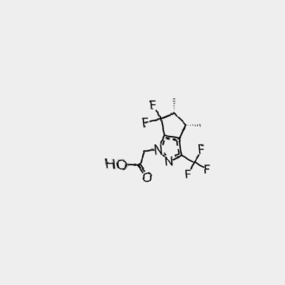 C[C@@H]1c2c(C(F)(F)F)nn(CC(=O)O)c2C(F)(F)[C@@H]1C